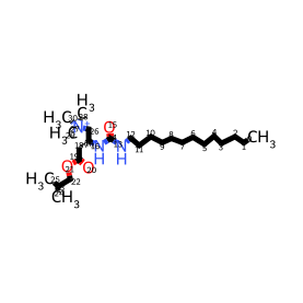 CCCCCCCCCCCCCNC(=O)N[C@H](CC(=O)OCC(C)C)C[N+](C)(C)C